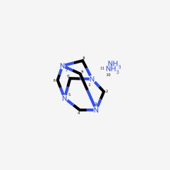 C1N2CN3CN1CN(C2)C3.N.N